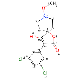 CON1CCC2(CC1)OC(=O)C(c1cc(Cl)cc(Cl)c1)=C2O